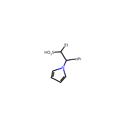 CCCC(C(CC)S(=O)(=O)O)n1cccc1